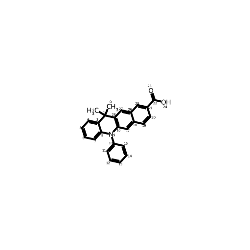 CC1(C)c2ccccc2N(c2ccccc2)c2cc3ccc(C(=O)O)cc3cc21